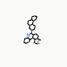 c1ccc2c(c1)ccc1cc(-c3nc4ccccc4c4c3ccc3ccccc34)ccc12